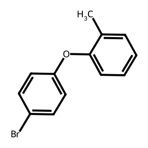 Cc1ccccc1Oc1ccc(Br)cc1